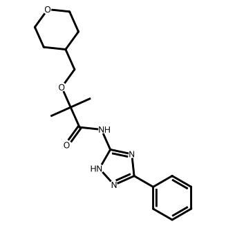 CC(C)(OCC1CCOCC1)C(=O)Nc1nc(-c2ccccc2)n[nH]1